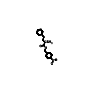 N[C@@H](CCc1ccccc1)C(=O)OCc1ccc([N+](=O)[O-])cc1